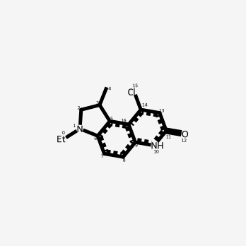 CCN1CC(C)c2c1ccc1[nH]c(=O)cc(Cl)c21